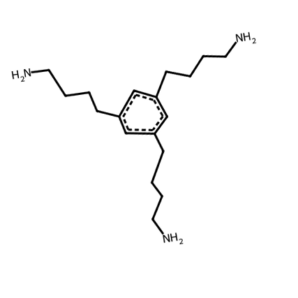 NCCCCc1cc(CCCCN)cc(CCCCN)c1